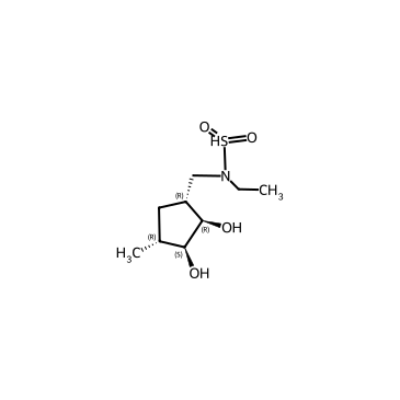 CCN(C[C@H]1C[C@@H](C)[C@H](O)[C@@H]1O)[SH](=O)=O